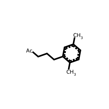 CC(=O)CCCc1cc(C)ccc1C